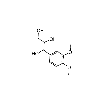 COc1ccc(C(O)C(O)CO)cc1OC